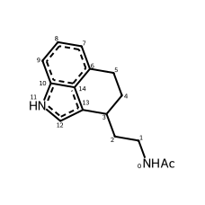 CC(=O)NCCC1CCc2cccc3[nH]cc1c23